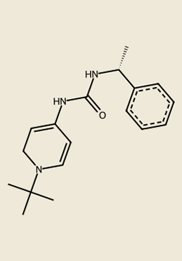 C[C@@H](NC(=O)NC1=CCN(C(C)(C)C)C=C1)c1ccccc1